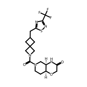 O=C1CO[C@H]2CCN(C(=O)N3CC4(CC(Cc5nc(C(F)(F)F)ns5)C4)C3)C[C@H]2N1